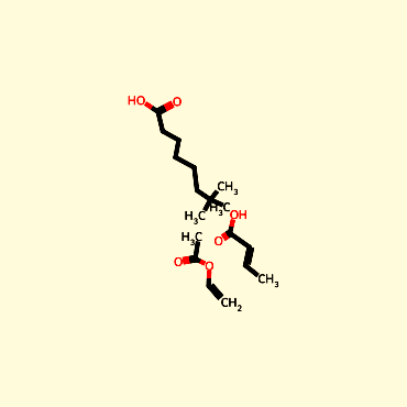 C/C=C/C(=O)O.C=COC(C)=O.CC(C)(C)CCCCCC(=O)O